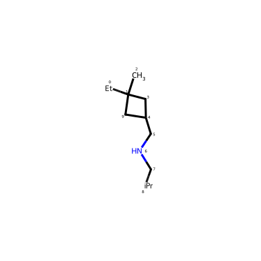 CCC1(C)CC(CNCC(C)C)C1